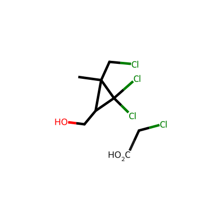 CC1(CCl)C(CO)C1(Cl)Cl.O=C(O)CCl